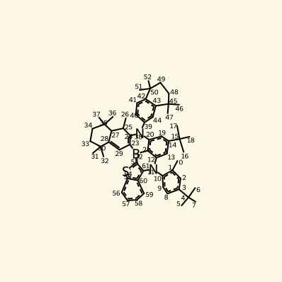 Cc1cc(C(C)(C)C)ccc1N1c2cc(C(C)(C)C)cc3c2B(C2=C(C(C)C4C(=C2)C(C)(C)CCC4(C)C)N3c2ccc3c(c2)C(C)(C)CCC3(C)C)c2sc3ccccc3c21